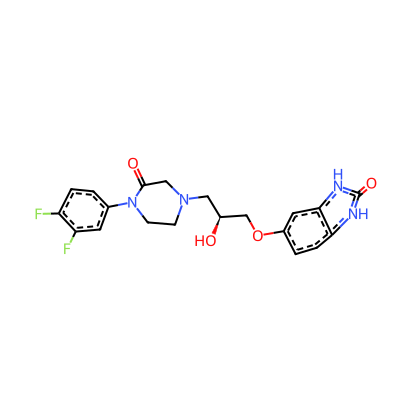 O=C1CN(C[C@H](O)COc2ccc3[nH]c(=O)[nH]c3c2)CCN1c1ccc(F)c(F)c1